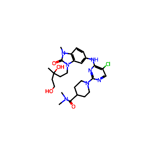 CN(C)C(=O)C1CCN(c2ncc(Cl)c(Nc3ccc4c(c3)n(CCC(C)(O)CCO)c(=O)n4C)n2)CC1